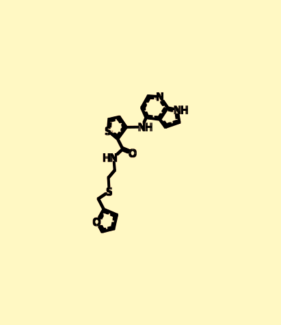 O=C(NCCSCc1ccco1)c1sccc1Nc1ccnc2[nH]ccc12